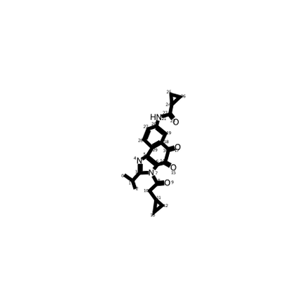 CC(C)c1nc2c(n1C(=O)CC1CC1)C(=O)C(=O)c1cc(NC(=O)C3CC3)ccc1-2